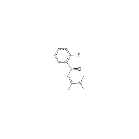 CC(=CC(=O)c1ccccc1F)N(C)C